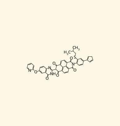 CC(C)CSc1cc(C2=CCC=C2)ccc1N1C(=O)c2ccc3c4c(ccc(c24)C1=O)C(=O)C(c1nc2ccc(Oc4ccccn4)cc2c(=O)[nH]1)C3=O